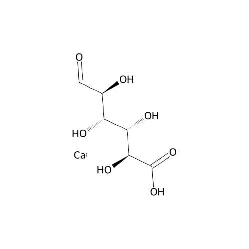 O=C[C@@H](O)[C@@H](O)[C@H](O)[C@H](O)C(=O)O.[Ca]